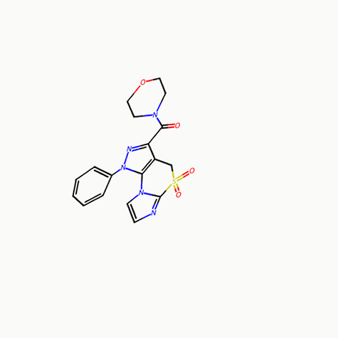 O=C(c1nn(-c2ccccc2)c2c1CS(=O)(=O)c1nccn1-2)N1CCOCC1